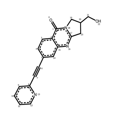 O=c1c2ccc(C#Cc3ccccn3)cc2nc2n1CC(CO)C2